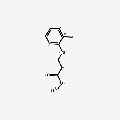 COC(=O)CCNc1ccccc1I